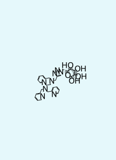 O[C@@H]1[C@@H](O)[C@@H](O)O[C@H](Cn2cc(CN(CCN(Cc3ccccn3)Cc3ccccn3)Cc3ccccn3)nn2)[C@@H]1O